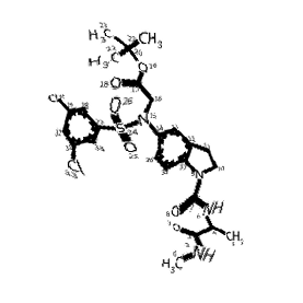 CNC(=O)C(C)NC(=O)N1CCc2cc(N(CC(=O)OC(C)(C)C)S(=O)(=O)c3cc(Cl)cc(Cl)c3)ccc21